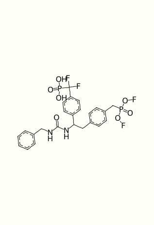 O=C(NCc1ccccc1)NC(Cc1ccc(CP(=O)(OF)OF)cc1)c1ccc(C(F)(F)P(=O)(O)O)cc1